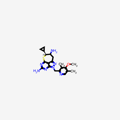 COc1c(C)cnc(Cn2nc3c4c(nc(N)nc42)S[C@@H](C2CC2)C(N)C3)c1C